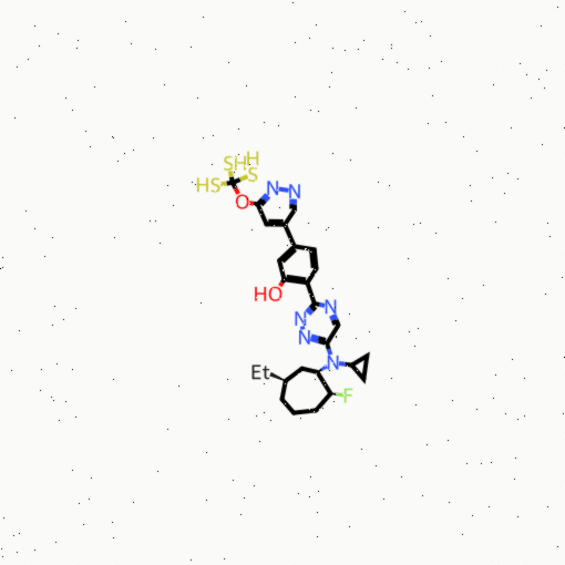 CC[C@@H]1CCC[C@H](F)[C@H](N(c2cnc(-c3ccc(-c4cnnc(OC(S)(S)S)c4)cc3O)nn2)C2CC2)C1